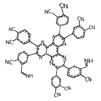 N#Cc1ccc(-c2nc3c(nc2-c2ccc(C#N)c(C#N)c2)c2nc(-c4ccc(C#N)c(C=N)c4)c(-c4ccc(C#N)c(C#N)c4)nc2c2nc(-c4ccc(C#N)c(C=N)c4)c(-c4ccc(C#N)c(C#N)c4)nc32)cc1C#N